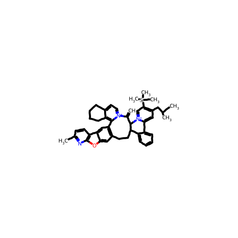 C=C1C2C(CCc3cc4oc5nc(C)ccc5c4cc3-c3c4c(cc[n+]31)CCCC4)c1ccccc1-c1cc(CC(C)C)c([Si](C)(C)C)c[n+]12